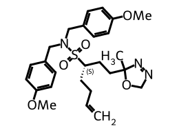 C=CCC[C@@H](CCC1(C)N=NCO1)S(=O)(=O)N(Cc1ccc(OC)cc1)Cc1ccc(OC)cc1